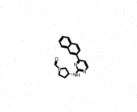 O=CN1CC[C@@H](Nc2nccc(-c3ccc4ccccc4c3)n2)C1